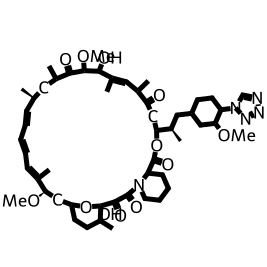 COC1CC(C[C@@H](C)C2CC(=O)C(C)/C=C(\C)C(O)C(OC)C(=O)C(C)C[C@H](C)/C=C/C=C/C=C(\C)[C@@H](OC)CC3CCC(C)C(O)(O3)C(=O)C(=O)N3CCCCC3C(=O)O2)CCC1n1cnnn1